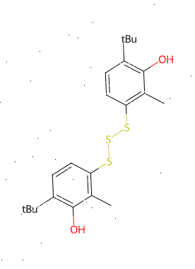 Cc1c(SSSc2ccc(C(C)(C)C)c(O)c2C)ccc(C(C)(C)C)c1O